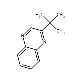 CC(C)(C)c1[c]nc2ccccc2n1